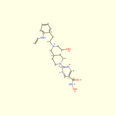 C=CNc1ccccc1CCN(CCO)CC1CCN(c2ncc(C(=O)NO)cn2)CC1